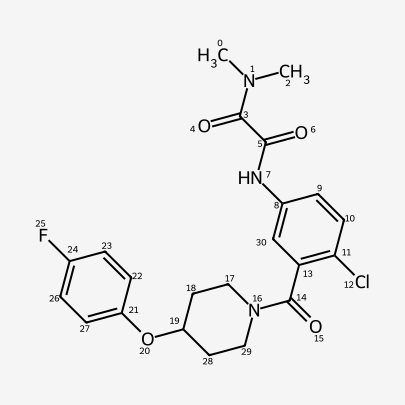 CN(C)C(=O)C(=O)Nc1ccc(Cl)c(C(=O)N2CCC(Oc3ccc(F)cc3)CC2)c1